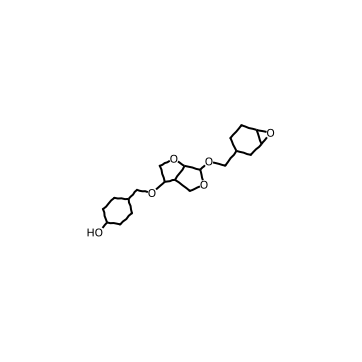 OC1CCC(COC2COC3C(OCC4CCC5OC5C4)OCC23)CC1